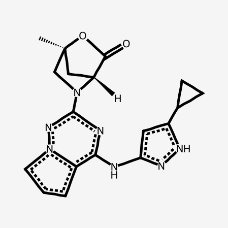 C[C@@]12C[C@H](C(=O)O1)N(c1nc(Nc3cc(C4CC4)[nH]n3)c3cccn3n1)C2